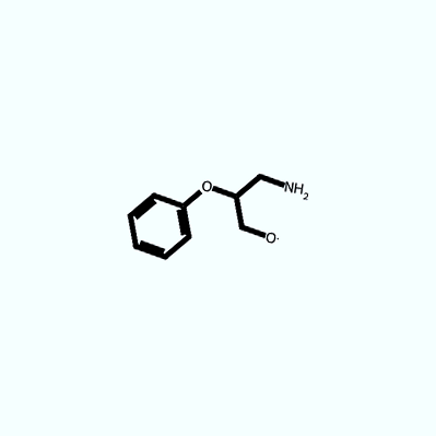 NCC(C[O])Oc1ccccc1